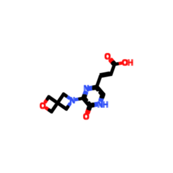 O=C(O)/C=C/c1c[nH]c(=O)c(N2CC3(COC3)C2)n1